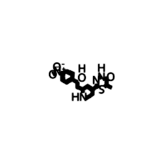 CC1SC(C2=CC(CC(O)c3ccc([N+](=O)[O-])cc3)NCC2)=NNC1=O